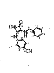 N#Cc1ccc(Nc2c(NCc3ccccc3)c(=O)c2=O)cc1